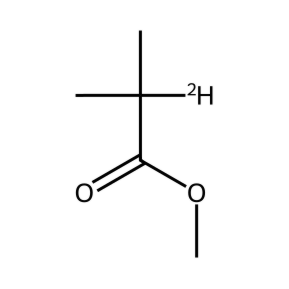 [2H]C(C)(C)C(=O)OC